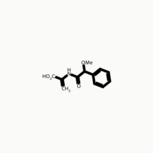 C=C(NC(=O)C(OC)c1ccccc1)C(=O)O